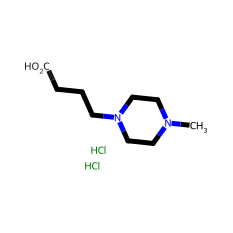 CN1CCN(CCCC(=O)O)CC1.Cl.Cl